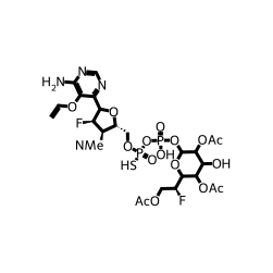 C=COc1c(N)ncnc1C1O[C@H](COP(=O)(S)OP(=O)(O)OC2OC([C@@H](F)COC(C)=O)C(OC(C)=O)C(O)C2OC(C)=O)[C@@H](NC)[C@H]1F